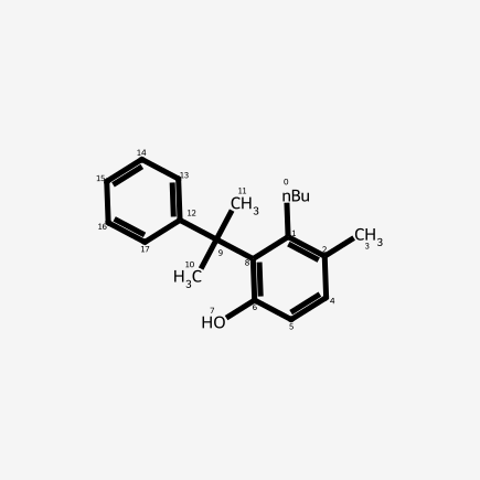 CCCCc1c(C)ccc(O)c1C(C)(C)c1ccccc1